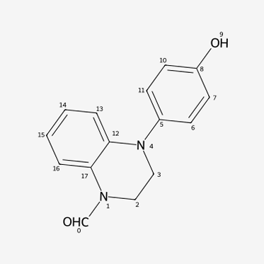 O=CN1CCN(c2ccc(O)cc2)c2ccccc21